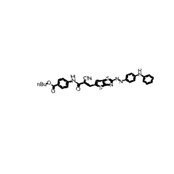 CCCCOC(=O)c1ccc(NC(=O)/C(C#N)=C/c2cc3sc(/N=N/c4ccc(Nc5ccccc5)cc4)nc3s2)cc1